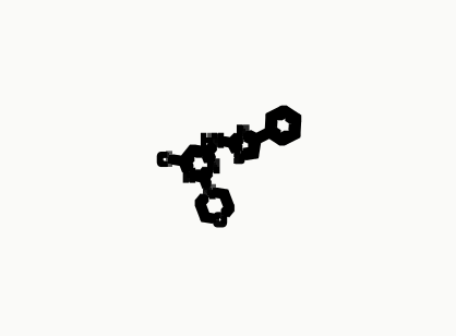 Clc1cc(Nc2nc(-c3ccccc3)cs2)nc(N2CCOCC2)n1